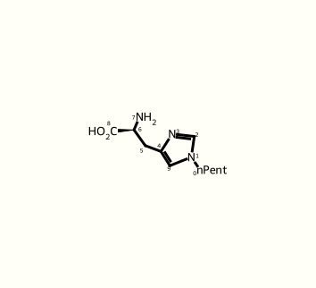 CCCCCn1cnc(C[C@H](N)C(=O)O)c1